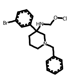 ClOCNC1(c2cccc(Br)c2)CCCN(Cc2ccccc2)C1